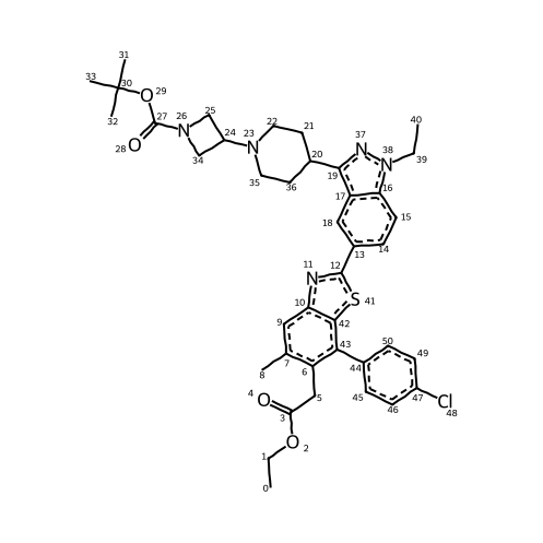 CCOC(=O)Cc1c(C)cc2nc(-c3ccc4c(c3)c(C3CCN(C5CN(C(=O)OC(C)(C)C)C5)CC3)nn4CC)sc2c1-c1ccc(Cl)cc1